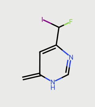 C=C1C=C(C(F)I)N=CN1